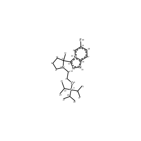 CC(C)[Si](OCCN1CCCC1(C)c1nnc2ccc(F)cn12)(C(C)C)C(C)C